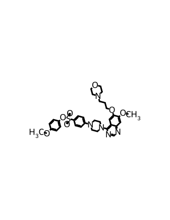 COc1ccc(OS(=O)(=O)c2ccc(N3CCN(c4ncnc5cc(OC)c(OCCCN6CCOCC6)cc45)CC3)cc2)cc1